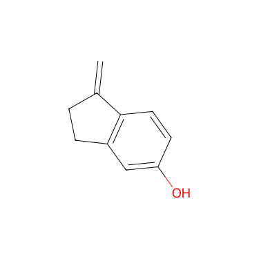 C=C1CCc2cc(O)ccc21